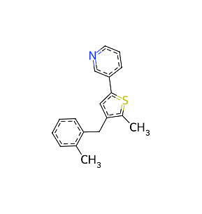 Cc1ccccc1Cc1cc(-c2cccnc2)sc1C